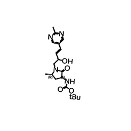 Cc1ncc(C=CC(O)CN2C(=O)[C@@H](NC(=O)OC(C)(C)C)C[C@H]2C)cn1